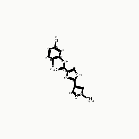 Cn1cc(-c2nc(C(=O)Nc3cc(Cl)ccc3F)cs2)cn1